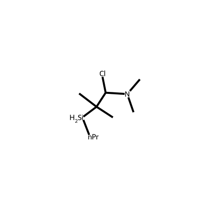 CCC[SiH2]C(C)(C)C(Cl)N(C)C